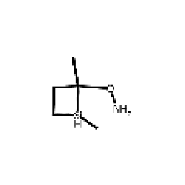 C[SiH]1CCC1(C)ON